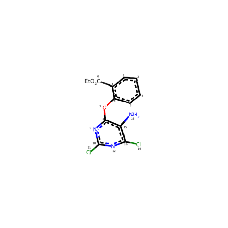 CCOC(=O)c1ccccc1Oc1nc(Cl)nc(Cl)c1N